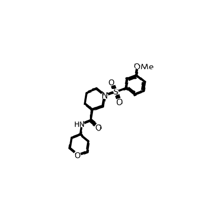 COc1cccc(S(=O)(=O)N2CCCC(C(=O)NC3CCOCC3)C2)c1